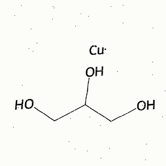 OCC(O)CO.[Cu]